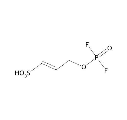 O=P(F)(F)OC/C=C/S(=O)(=O)O